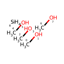 CO.CO.CO.CO.[SiH4]